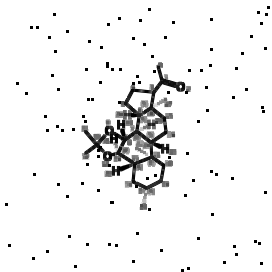 CC(=O)C1CC[C@H]2[C@@H]3[C@H]4OC(C)(C)O[C@@H]4[C@H]4C[C@@H](C)CC[C@]4(C)[C@H]3CC[C@]12C